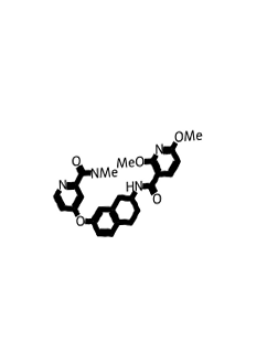 CNC(=O)c1cc(Oc2ccc3c(c2)CC(NC(=O)c2ccc(OC)nc2OC)CC3)ccn1